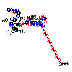 COCCOCCOCCOCCOCCOCCOCCOCCOCCOCCOCCN(CCC(=O)N[C@H](C(=O)N(c1ccc(COC(=O)N(CCOC23CC4(C)CC(C)(CC(Cn5ncc(-c6ccc(N7CCc8cccc(C(=O)Nc9nc%10ccccc%10s9)c8C7)nc6C(=O)O)c5C)(C4)C2)C3)CCS(=O)(=O)O)cc1)[C@@H](CCCNC(N)=O)C(N)=O)C(C)C)C(=O)CN1C(=O)C=CC1=O